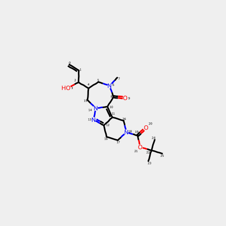 C=CC(O)C1CN(C)C(=O)c2c3c(nn2C1)CCN(C(=O)OC(C)(C)C)C3